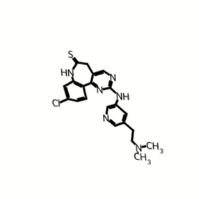 CN(C)CCc1cncc(Nc2ncc3c(n2)-c2ccc(Cl)cc2NC(=S)C3)c1